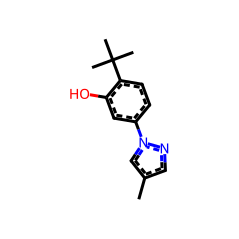 Cc1cnn(-c2ccc(C(C)(C)C)c(O)c2)c1